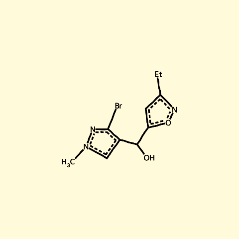 CCc1cc(C(O)c2cn(C)nc2Br)on1